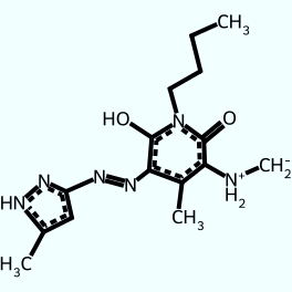 [CH2-][NH2+]c1c(C)c(/N=N/c2cc(C)[nH]n2)c(O)n(CCCC)c1=O